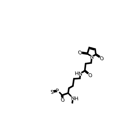 CNC(CCCCNC(=O)CCN1C(=O)C=CC1=O)C(=O)P=S